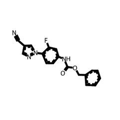 N#Cc1cnn(-c2ccc(NC(=O)OCc3ccccc3)cc2F)c1